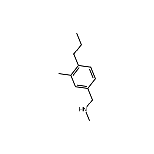 CCCc1ccc(CNC)cc1C